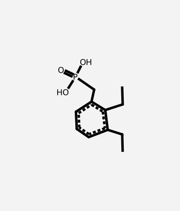 CCc1cccc(CP(=O)(O)O)c1CC